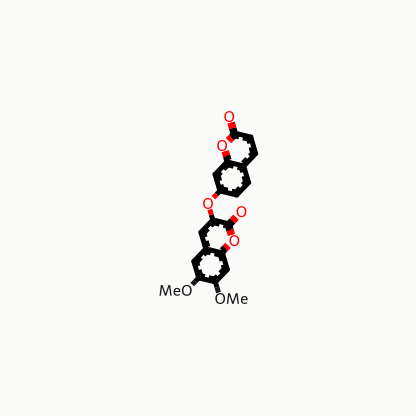 COc1cc2cc(Oc3ccc4ccc(=O)oc4c3)c(=O)oc2cc1OC